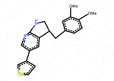 COc1ccc(CC2CNc3ncc(-c4ccsc4)cc32)cc1OC